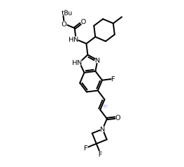 CC1CCC(C(NC(=O)OC(C)(C)C)c2nc3c(F)c(/C=C/C(=O)N4CC(F)(F)C4)ccc3[nH]2)CC1